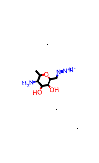 CC1OC(CN=[N+]=[N-])C(O)C(O)C1N